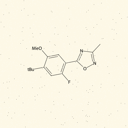 COc1cc(-c2nc(C)no2)c(F)cc1C(C)(C)C